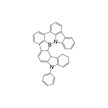 C1=CC2=C(CC1)C1C(=CC=C3c4cccc5c4B(C31)n1c3ccccc3c3cccc-5c31)N2c1ccccc1